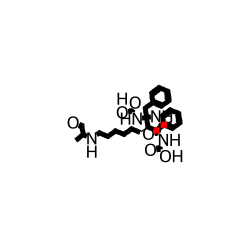 CC(C=O)NCCCCCC[C@@H](Cc1ccccc1)C(Cc1ccccc1)(NC(=O)O)N[C@@H](C)C(=O)NC(=O)O